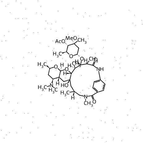 CO[C@]1(C)C[C@H](O[C@H]2[C@H](C)[C@H]3O[C@@H]4O[C@H](C)C[C@H](N(C)C)[C@H]4C[C@@]3(O)C[C@@H](C)CN(C)C(=O)c3ccc(cc3)NC(=O)[C@@H]2C)O[C@@H](C)[C@@H]1OC(C)=O